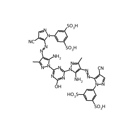 Cc1nn(-c2nc(O)nc(-n3nc(C)c(N=Nc4c(C#N)cnn4-c4cc(S(=O)(=O)O)cc(S(=O)(=O)O)c4)c3N)n2)c(N)c1N=Nc1c(C#N)cnn1-c1cc(S(=O)(=O)O)cc(S(=O)(=O)O)c1